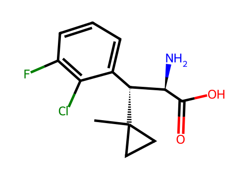 CC1([C@H](c2cccc(F)c2Cl)[C@@H](N)C(=O)O)CC1